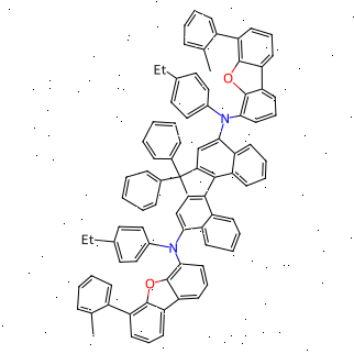 CCc1ccc(N(c2cc3c(c4ccccc24)-c2c(cc(N(c4ccc(CC)cc4)c4cccc5c4oc4c(-c6ccccc6C)cccc45)c4ccccc24)C3(c2ccccc2)c2ccccc2)c2cccc3c2oc2c(-c4ccccc4C)cccc23)cc1